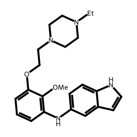 CCN1CCN(CCOc2cccc(Nc3ccc4[nH]ccc4c3)c2OC)CC1